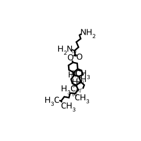 CC(C)CCC[C@@H](C)[C@H]1CC[C@H]2[C@@H]3CC=C4CC(OC(=O)[C@@H](N)CCCCN)CC[C@]4(C)[C@H]3CC[C@]12C